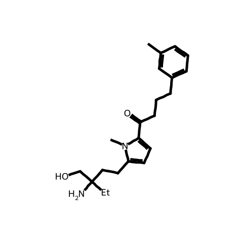 CCC(N)(CO)CCc1ccc(C(=O)CCCc2cccc(C)c2)n1C